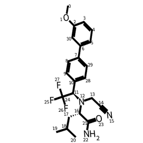 COc1cccc(-c2ccc([C@@H](N(CC#N)[C@@H](CC(C)C)C(N)=O)C(F)(F)F)cc2)c1